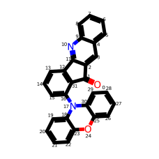 O=C1c2cc3ccccc3nc2-c2cccc(N3c4ccccc4Oc4ccccc43)c21